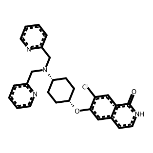 O=c1[nH]ccc2cc(O[C@H]3CC[C@@H](N(Cc4ccccn4)Cc4ccccn4)CC3)c(Cl)cc12